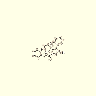 CCn1nc(C(=O)OCc2ccccc2)c2c1-c1ccccc1OC21CCNCC1